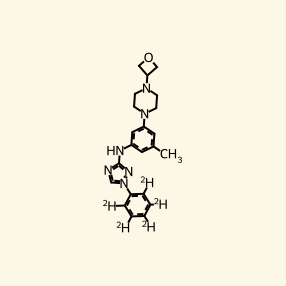 [2H]c1c([2H])c([2H])c(-n2cnc(Nc3cc(C)cc(N4CCN(C5COC5)CC4)c3)n2)c([2H])c1[2H]